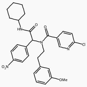 COc1cccc(CCN(C(=O)c2ccc(Cl)nc2)C(C(=O)NC2CCCCC2)c2ccc([N+](=O)[O-])cc2)c1